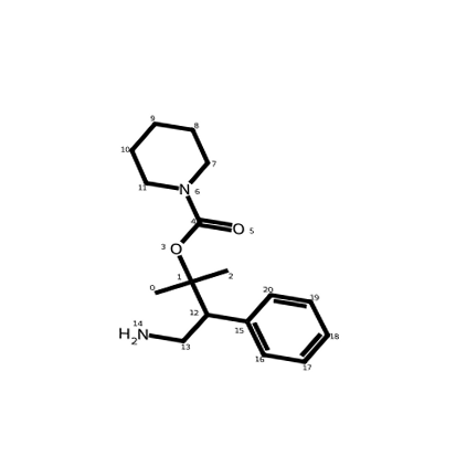 CC(C)(OC(=O)N1CCCCC1)C(CN)c1ccccc1